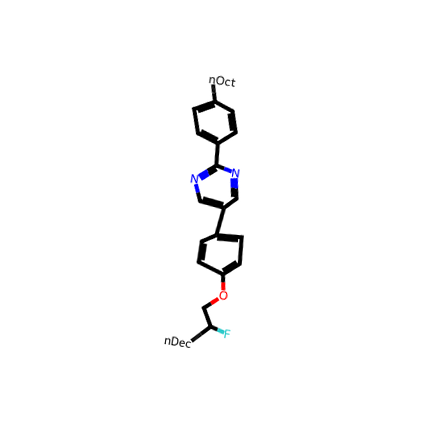 CCCCCCCCCCC(F)COc1ccc(-c2cnc(-c3ccc(CCCCCCCC)cc3)nc2)cc1